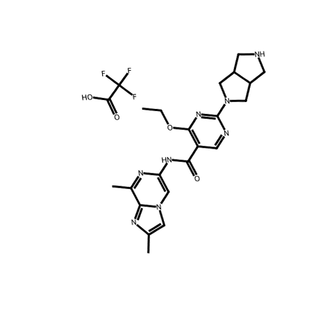 CCOc1nc(N2CC3CNCC3C2)ncc1C(=O)Nc1cn2cc(C)nc2c(C)n1.O=C(O)C(F)(F)F